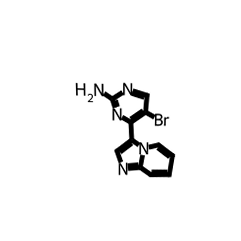 Nc1ncc(Br)c(-c2cnc3ccccn23)n1